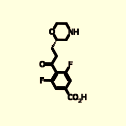 O=C(O)c1cc(F)c(C(=O)CC[C@H]2CNCCO2)c(F)c1